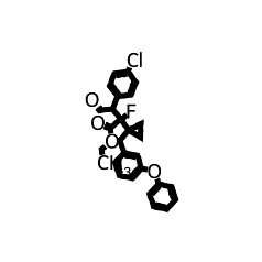 CCOC(=O)C(F)(C(C=O)c1ccc(Cl)cc1)C1(Cc2cccc(Oc3ccccc3)c2)CC1